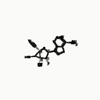 N#C[C@]12O[C@@H](c3ccc4c(N)ncnn34)[C@H](F)[C@@]1(O)C2O